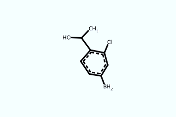 Bc1ccc(C(C)O)c(Cl)c1